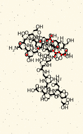 NC(=O)C[C@H](NC(=O)[C@H](CO)NC(=O)[C@H](CC(=O)O)NC(=O)[C@H](CO)NC(=O)CNC(=O)[C@H](CO)NC(=O)CNC(=O)[C@H](CC(=O)O)NC(=O)[C@H](CC(N)=O)NC(=O)[C@H](CO)NC(=O)[C@H](CC(=O)O)NC(=O)[C@H](CO)NC(=O)CNC(=O)[C@H](CO)NC(=O)CNC(=O)[C@H](CC(=O)O)NC(=O)[C@H](CC(N)=O)NC(=O)[C@H](CO)NC(=O)[C@H](CC(=O)O)NC(=O)[C@@H](N)CO)C(=O)N[C@@H](CC(=O)O)C(=O)O